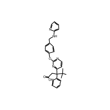 CC(C)(C)C(CC(=O)O)(c1ccccc1)c1ccnc(Oc2ccc(CNc3ccccn3)cc2)n1